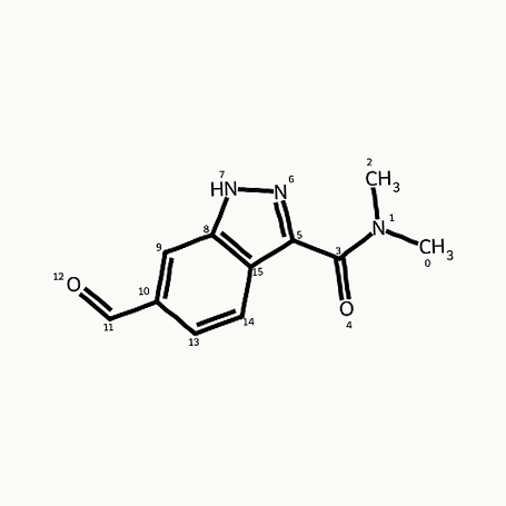 CN(C)C(=O)c1n[nH]c2cc(C=O)ccc12